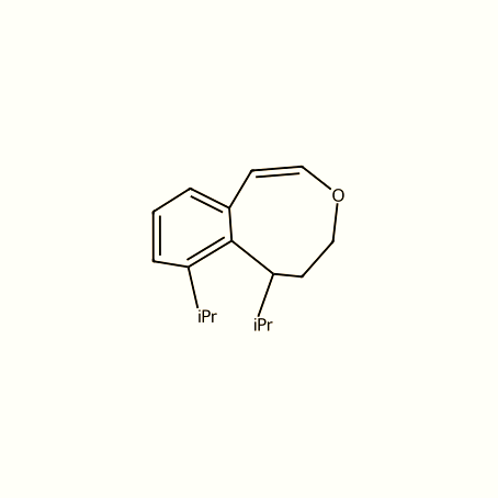 CC(C)c1cccc2c1C(C(C)C)CCO/C=C\2